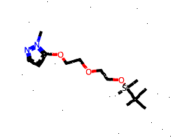 Cn1nccc1OCCOCCO[Si](C)(C)C(C)(C)C